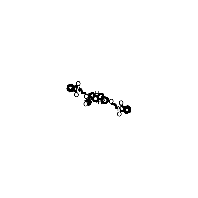 C[C@]12CCC(OCCCN3C(=O)c4ccccc4C3=O)CC1CC[C@@H]1[C@H]2CC[C@]2(C)C(OCCCN3C(=O)c4ccccc4C3=O)(c3ccoc3)CC[C@@]12O